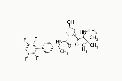 CN[C@H](C(=O)N1C[C@H](O)C[C@H]1C(=O)N[C@@H](C)c1ccc(-c2c(F)c(F)cc(F)c2F)cc1)C(C)(C)C